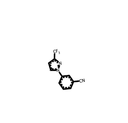 N#Cc1cccc(-n2[c]cc(C(F)(F)F)n2)c1